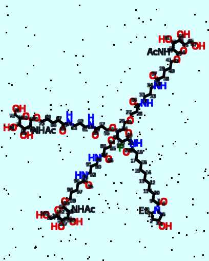 CC[C@@H]1C[C@@H](O)CN1C(=O)CCCCCCCCCCC(=O)N[C@@H]1O[C@H](COCCC(=O)NCCCNC(=O)CCCCO[C@@H]2O[C@H](CO)[C@H](O)[C@H](O)[C@H]2NC(C)=O)[C@@H](OCCC(=O)NCCCNC(=O)CCCCO[C@@H]2O[C@H](CO)[C@H](O)[C@H](O)[C@H]2NC(C)=O)[C@H](OCCC(=O)NCCCNC(=O)CCCCO[C@@H]2O[C@H](CO)[C@H](O)[C@H](O)[C@H]2NC(C)=O)[C@H]1F